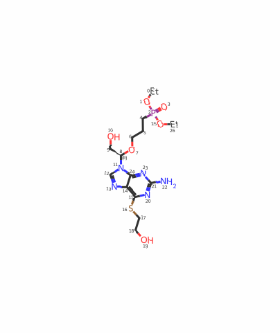 CCOP(=O)(CCCO[C@H](CO)n1cnc2c(SCCO)nc(N)nc21)OCC